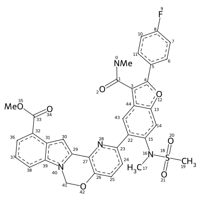 CNC(=O)c1c(-c2ccc(F)cc2)oc2cc(N(C)S(C)(=O)=O)c(-c3ccc4c(n3)-c3cc5c(C(=O)OC)cccc5n3CO4)cc12